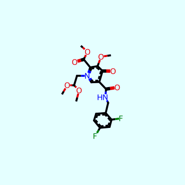 COC(=O)c1c(OC)c(=O)c(C(=O)NCc2ccc(F)cc2F)cn1CC(OC)OC